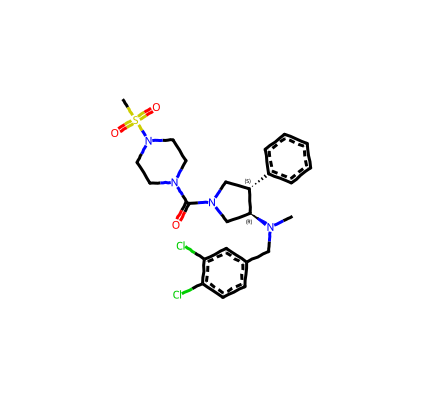 CN(Cc1ccc(Cl)c(Cl)c1)[C@H]1CN(C(=O)N2CCN(S(C)(=O)=O)CC2)C[C@@H]1c1ccccc1